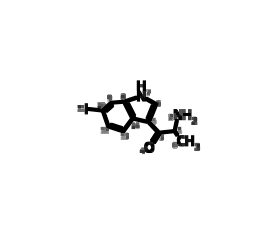 CC(N)C(=O)c1c[nH]c2cc(I)ccc12